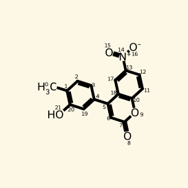 Cc1ccc(-c2cc(=O)oc3ccc([N+](=O)[O-])cc23)cc1O